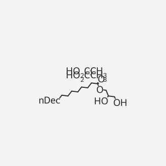 CC(=O)O.CC(=O)O.CCCCCCCCCCCCCCCCCC(=O)OCC(O)CO